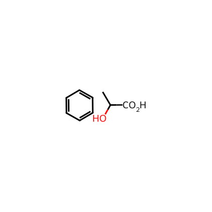 CC(O)C(=O)O.c1ccccc1